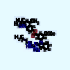 C/C=C/C=N/Nc1nnc2c3ccccc3n(-c3cc(OC)cc(C(=O)Oc4ccc5c(c4)C(C)=CC(C)(C)N5)c3)c2n1